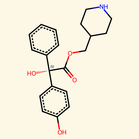 O=C(OCC1CCNCC1)[C@](O)(c1ccccc1)c1ccc(O)cc1